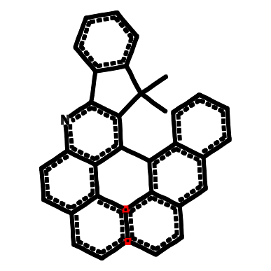 CC1(C)c2ccccc2-c2nc3ccc4ccccc4c3c(-c3c4ccccc4cc4ccccc34)c21